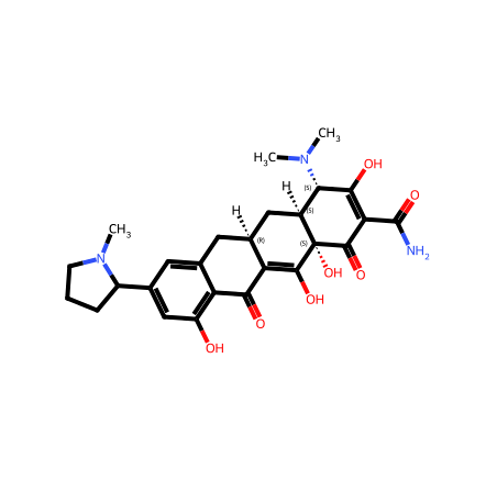 CN1CCCC1c1cc(O)c2c(c1)C[C@H]1C[C@H]3[C@H](N(C)C)C(O)=C(C(N)=O)C(=O)[C@@]3(O)C(O)=C1C2=O